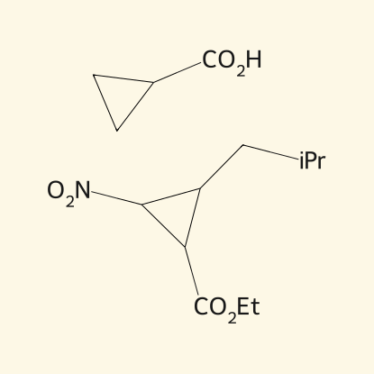 CCOC(=O)C1C(CC(C)C)C1[N+](=O)[O-].O=C(O)C1CC1